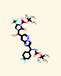 CC(C)(C)OC(=O)N[C@H](c1cn2ncc([C@@H](O)[C@H]3C[C@H](C(F)(F)F)N(C(=O)OC(C)(C)C)C3=O)cc2n1)C1CCC(F)(F)CC1